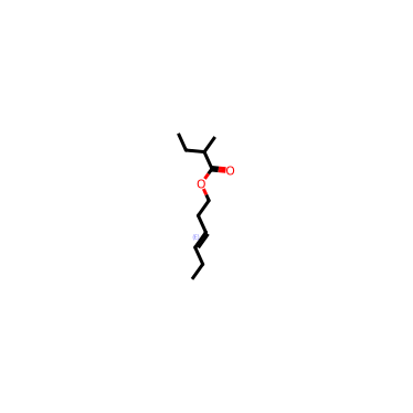 CC/C=C/CCOC(=O)C(C)CC